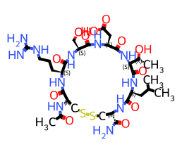 CC(=O)N[C@H]1CSSC[C@@H](C(N)=O)NC(=O)[C@H](CC(C)C)NC(=O)[C@H]([C@@H](C)O)NC(=O)[C@H](CC(=O)O)NC(=O)[C@H](CO)NC(=O)[C@H](CCCNC(=N)N)NC1=O